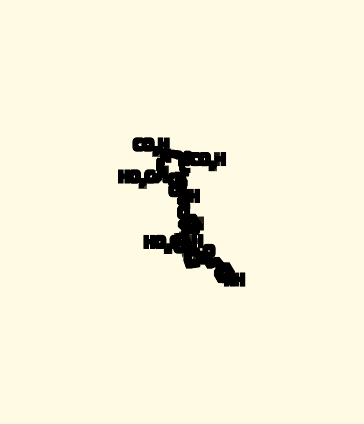 O=C(O)C[C@H](NC(=O)[C@@H]1CCCN(C(=O)CCC2CCNCC2)C1)c1cncc(OCCNC(=O)CN2CCN(CC(=O)O)CCN(CC(=O)O)CCN(CC(=O)O)CC2)c1